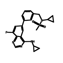 CS(=O)(=O)N(Cc1cccc(-c2cc(F)c3ncnc(NC4CC4)c3c2)c1)C1CC1